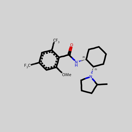 COc1cc(C(F)(F)F)cc(C(F)(F)F)c1C(=O)N[C@@H]1CCCC[C@@H]1N1CCCC1C